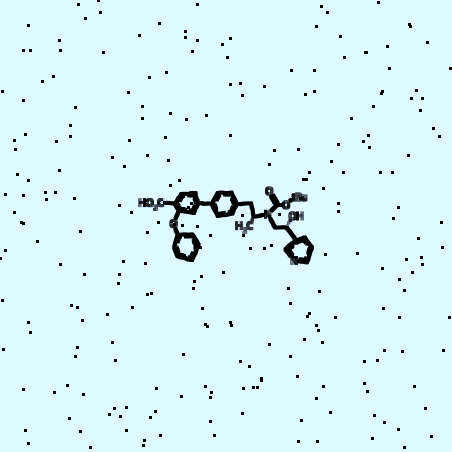 C[C@H](Cc1ccc(-c2ccc(C(=O)O)c(Oc3ccccc3)c2)cc1)N(C[C@H](O)c1cccnc1)C(=O)OC(C)(C)C